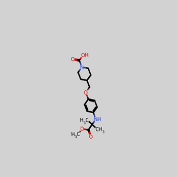 COC(=O)C(C)(C)Nc1ccc(OCC2CCN(C(=O)O)CC2)cc1